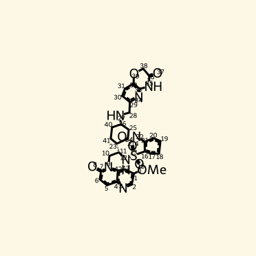 COc1cnc2ccc(=O)n(CC(NS(=O)(=O)c3ccccc3[N+](=O)[O-])[C@H]3CC[C@H](NCc4ccc5c(n4)NC(=O)CO5)CC3)c2c1